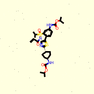 C=CC(=O)N=S(=O)(c1cc(NC(=O)OC(C)C)ccc1-c1cnc([C@H]2CC[C@H](NC(=O)OC(C)C)CC2)s1)C(C)C